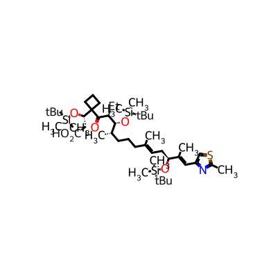 CC[C@H](C(=O)C1([C@H](CC(=O)O)O[Si](C)(C)C(C)(C)C)CCC1)[C@H](O[Si](C)(C)C(C)(C)C)[C@@H](C)CCC/C(C)=C/C[C@H](O[Si](C)(C)C(C)(C)C)/C(C)=C/c1csc(C)n1